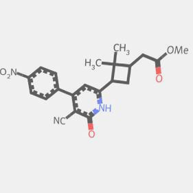 COC(=O)CC1CC(c2cc(-c3ccc([N+](=O)[O-])cc3)c(C#N)c(=O)[nH]2)C1(C)C